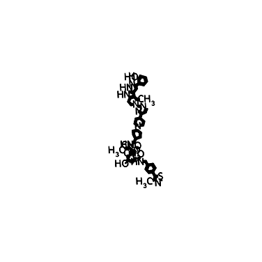 Cc1ncsc1-c1ccc(CNC(=O)[C@@H]2C[C@@H](O)CN2C(=O)[C@@H](NC(=O)C2CCC(N3CCC(c4ccnc(N5CCc6[nH]c7c(c6[C@@H]5C)C=C(c5ccccc5O)NN7)n4)CC3)CC2)C(C)(C)C)cc1